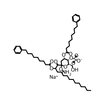 CCCCCCCCCCCCC(OC(=O)CCCCCCCCc1ccccc1)C(=O)C1(ON)C[C@H](OC(=O)CCCCCCCCc2ccccc2)[C@H](OS(=O)(=O)[O-])[C@@H](CO)O1.[Na+]